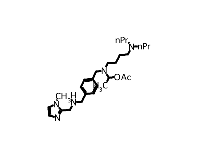 CCCN(CCC)CCCCN(Cc1ccc(CNCc2nccn2C)cc1)C(C)OC(C)=O